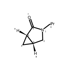 CC(C)N1C[C@@H]2C[C@@H]2C1=O